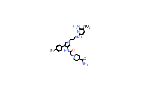 CCc1ccc(-c2cn(CCCNc3ccc([N+](=O)[O-])c(N)n3)cc2NC(=O)CN2CCC(C(N)=O)CC2)cc1